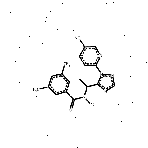 CCN(C(=O)c1cc(C(F)(F)F)cc(C(F)(F)F)c1)C(C)c1ncnn1-c1ccc(C#N)cn1